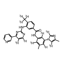 [2H]c1nc(Nc2cc(C(=O)Nc3c([2H])c(C)c([2H])c(-n4c([2H])nc(C)c4[2H])c3[2H])ccc2C([2H])([2H])[2H])nc(-c2cccnc2)c1[2H]